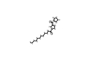 CCCCCCCCCCCC(=O)N1CCC(C(=O)N2CCCC2)C1